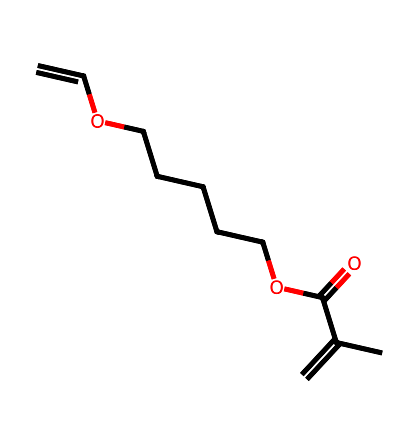 C=COCCCCCOC(=O)C(=C)C